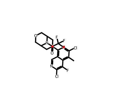 Cc1c(Cl)nc(N2CC3COCC(C2)N3C(=O)C(F)(F)F)c2cnc(Cl)c(F)c12